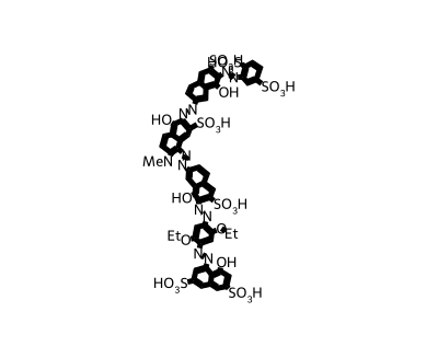 CCOc1cc(N=Nc2cc(S(=O)(=O)O)cc3cc(S(=O)(=O)O)cc(O)c23)c(OCC)cc1N=Nc1c(S(=O)(=O)O)cc2ccc(N=Nc3c(NC)ccc4c(O)c(N=Nc5ccc6cc(S(=O)(=O)O)c(N=Nc7cc(S(=O)(=O)O)ccc7S(=O)(=O)O)c(O)c6c5)c(S(=O)(=O)O)cc34)cc2c1O